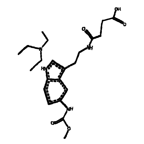 CCN(CC)CC.COC(=O)Nc1ccc2[nH]cc(CCNC(=O)CCC(=O)O)c2c1